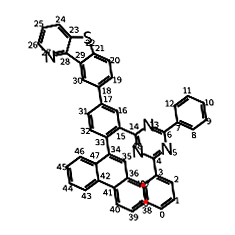 c1ccc(-c2nc(-c3ccccc3)nc(-c3cc(-c4ccc5sc6cccnc6c5c4)ccc3-c3cc4ccccc4c4ccccc34)n2)cc1